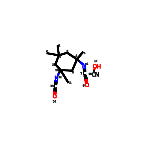 CC1(C)CC(C)(N=C=O)CC(C)(N=C=O)C1.N#CO